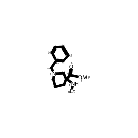 CCNC1(C(=O)OC)CCCN(Cc2ccccc2)C1